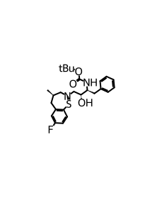 C[C@@H]1Cc2cc(F)ccc2SN(C[C@@H](O)[C@H](Cc2ccccc2)NC(=O)OC(C)(C)C)C1